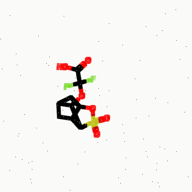 O=C(O)C(F)(F)OC1C2CC3OS(=O)(=O)C1C3C2